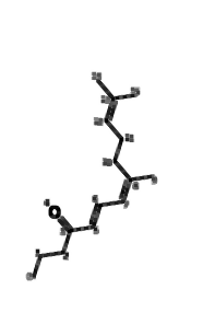 CCCC(=O)C=CC=C(C)CCC=C(C)C